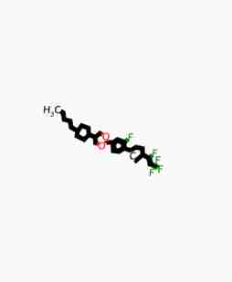 CCCCCC1CCC(C2COC(c3ccc(C4CCC(/C(F)=C/C(F)(F)F)CC4)c(F)c3)OC2)CC1